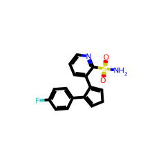 NS(=O)(=O)c1ncccc1C1=CCC=C1c1ccc(F)cc1